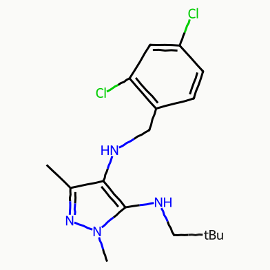 Cc1nn(C)c(NCC(C)(C)C)c1NCc1ccc(Cl)cc1Cl